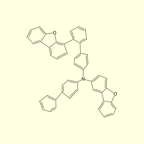 c1ccc(-c2ccc(N(c3ccc(-c4ccccc4-c4cccc5c4oc4ccccc45)cc3)c3ccc4oc5ccccc5c4c3)cc2)cc1